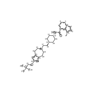 Cn1ncc2cccc(C(=O)N[C@H]3CC[C@H](CCN4CCc5nc(OCC(F)(F)F)sc5CC4)CC3)c21